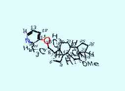 COC1C[C@H]2[C@@H]3CC[C@H]([C@H](C)Oc4cccnc4C)[C@@]3(C)CC[C@@H]2[C@@]2(C)CC[C@@H]3CC132